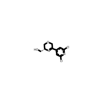 OC[C@@H]1COCC(c2cc(Cl)nc(Cl)c2)=N1